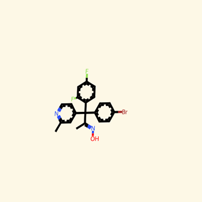 CC(=NO)C(c1ccc(Br)cc1)(c1ccnc(C)c1)c1ccc(F)cc1F